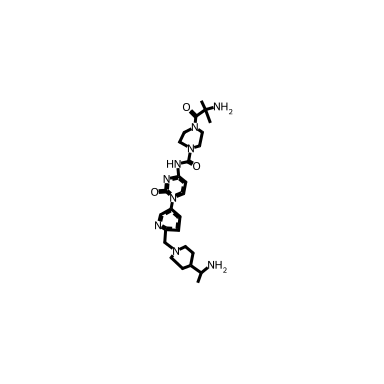 CC(N)C1CCN(Cc2ccc(-n3ccc(NC(=O)N4CCN(C(=O)C(C)(C)N)CC4)nc3=O)cn2)CC1